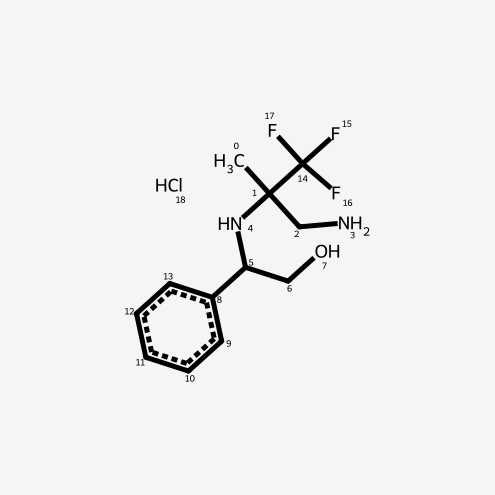 CC(CN)(NC(CO)c1ccccc1)C(F)(F)F.Cl